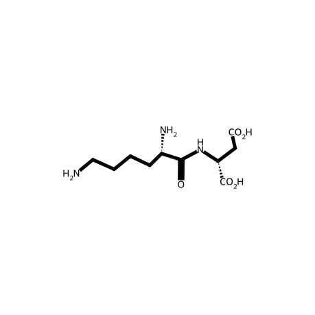 NCCCC[C@H](N)C(=O)N[C@H](CC(=O)O)C(=O)O